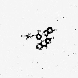 NS(=O)(=O)OC[C@H]1C[C@@H](Nc2ncncc2C(=O)c2cc([C@H]3OCc4ccc(Cl)cc43)c(Cl)s2)C[C@@H]1O